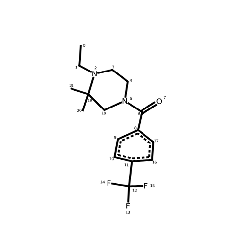 CCN1CCN(C(=O)c2ccc(C(F)(F)F)cc2)CC1(C)C